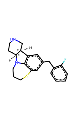 Fc1ccccc1Cc1cc2c3c(c1)[C@@H]1CNCC[C@@H]1N3CCCS2